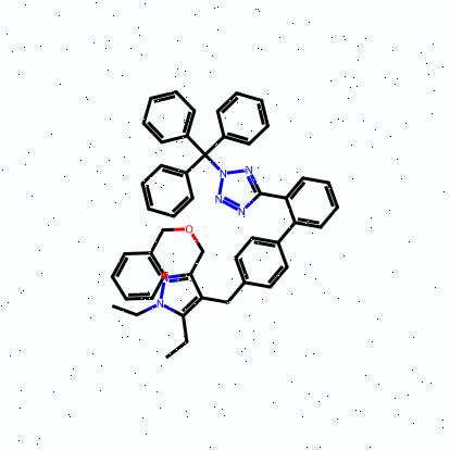 CCc1c(Cc2ccc(-c3ccccc3-c3nnn(C(c4ccccc4)(c4ccccc4)c4ccccc4)n3)cc2)c(COCc2ccccc2)nn1CC